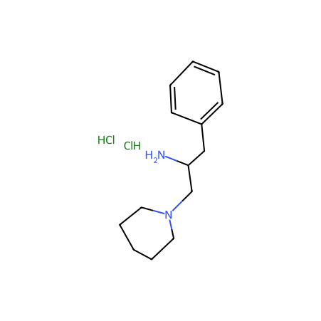 Cl.Cl.NC(Cc1ccccc1)CN1CCCCC1